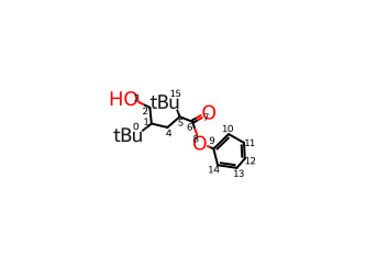 CC(C)(C)C(CO)CC(C(=O)Oc1ccccc1)C(C)(C)C